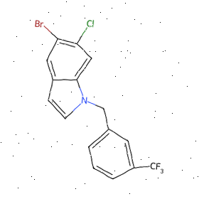 FC(F)(F)c1cccc(Cn2ccc3cc(Br)c(Cl)cc32)c1